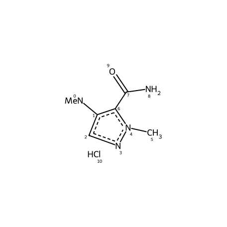 CNc1cnn(C)c1C(N)=O.Cl